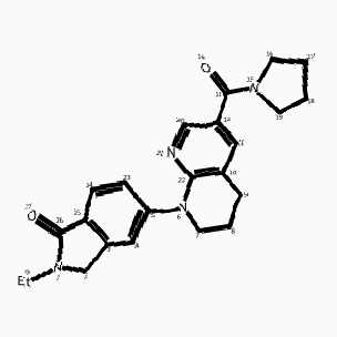 CCN1Cc2cc(N3CCCc4cc(C(=O)N5CCCC5)cnc43)ccc2C1=O